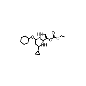 CCOC(=O)OC1=CNN2C(OC3CCCCC3)CC(C3CC3)NC12